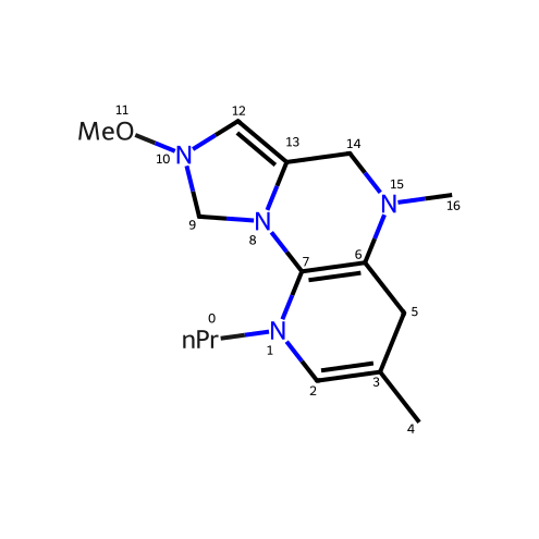 CCCN1C=C(C)CC2=C1N1CN(OC)C=C1CN2C